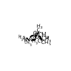 CC(C)P(=O)(OCC(C)(C)C)N1CCN(CCN(C)C)CC1